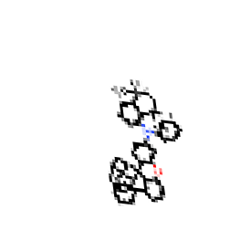 CC1(C)CCC(C)(C)c2c(N(c3ccccc3)c3ccc4c(c3)Oc3cccc(-c5ccccc5)c3C43C4CC5CC6CC3C64C5)cccc21